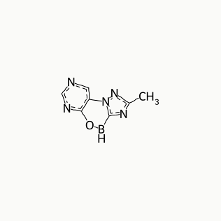 Cc1nc2n(n1)-c1cncnc1OB2